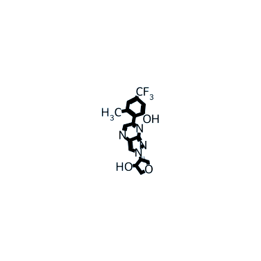 Cc1cc(C(F)(F)F)cc(O)c1-c1cnc2cn([C@H]3COCC3O)nc2n1